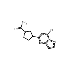 BC(=O)N1CCC(c2cc(Cl)n3nccc3n2)C1